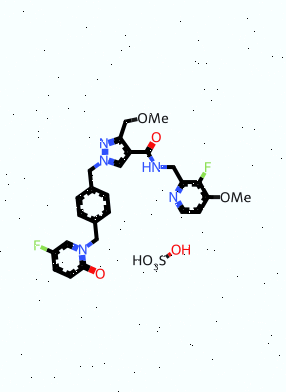 COCc1nn(Cc2ccc(Cn3cc(F)ccc3=O)cc2)cc1C(=O)NCc1nccc(OC)c1F.O=S(=O)(O)O